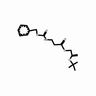 C=C(COC(=O)CCNC(=O)OCc1ccccc1)OC(C)(C)C